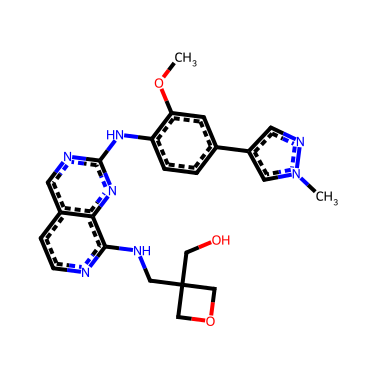 COc1cc(-c2cnn(C)c2)ccc1Nc1ncc2ccnc(NCC3(CO)COC3)c2n1